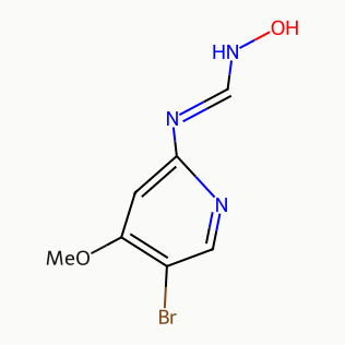 COc1cc(/N=C/NO)ncc1Br